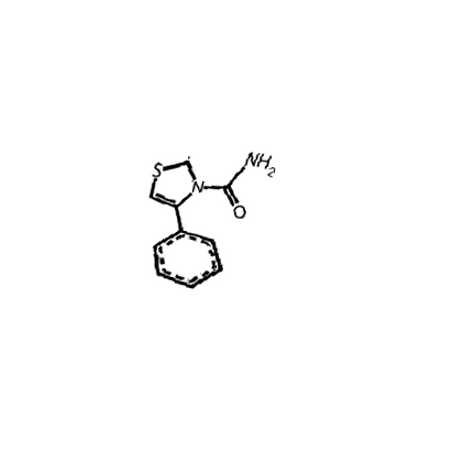 NC(=O)N1[CH]SC=C1c1ccccc1